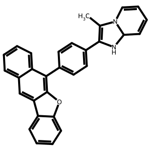 CC1=C(c2ccc(-c3c4ccccc4cc4c3oc3ccccc34)cc2)NC2C=CC=CN12